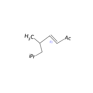 CC(=O)/C=C/C(C)CC(C)C